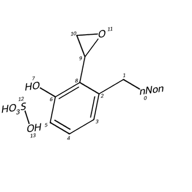 CCCCCCCCCCc1cccc(O)c1C1CO1.O=S(=O)(O)O